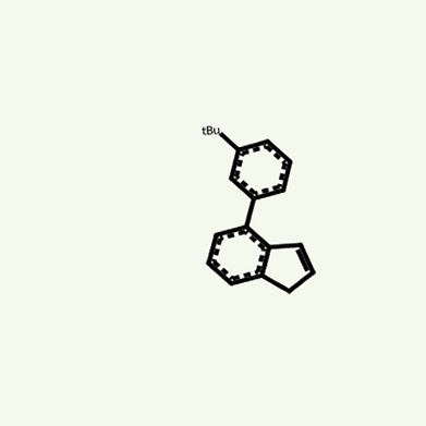 CC(C)(C)c1cccc(-c2cccc3c2C=C[CH]3)c1